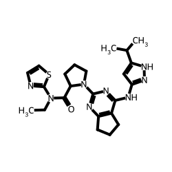 CCN(C(=O)C1CCCN1c1nc2c(c(Nc3cc(C(C)C)[nH]n3)n1)CCC2)c1nccs1